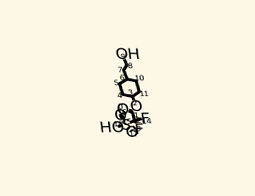 O=C(OC1CCC(CCO)CC1)C(F)(F)S(=O)(=O)O